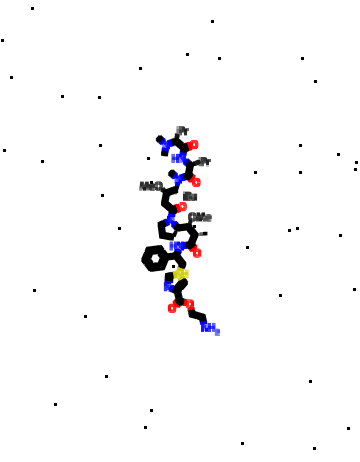 CC[C@H](C)[C@@H]([C@@H](CC(=O)N1CCC[C@H]1[C@H](OC)[C@H](C)C(=O)NC(C[SH]1C=NC(C(=O)OCCN)=C1)c1ccccc1)OC)N(C)C(=O)[C@@H](NC(=O)[C@H](C(C)C)N(C)C)C(C)C